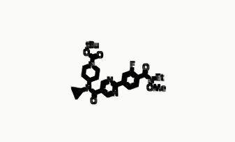 CCN(OC)C(=O)c1ccc(-c2ncc(C(=O)N(C3CC3)C3CCN(C(=O)OC(C)(C)C)CC3)cn2)cc1F